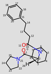 O=C([C@H]1C2CCC(CC2)N1C(=O)CCCc1ccccc1)N1CCCC1